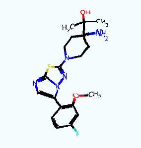 COc1cc(F)ccc1-c1cnc2sc(N3CCC(N)(C(C)(C)O)CC3)nn12